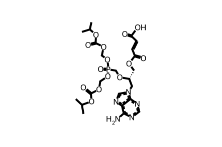 CC(C)OC(=O)OCOP(=O)(CO[C@H](COC(=O)/C=C/C(=O)O)Cn1cnc2c(N)ncnc21)OCOC(=O)OC(C)C